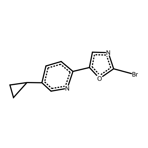 Brc1ncc(-c2ccc(C3CC3)cn2)o1